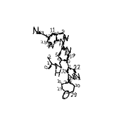 CC(C)Nc1cc(-n2ncc3cc(C#N)cnc32)ncc1-c1cnn(C2CCOCC2)c1